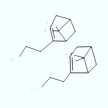 CC(=O)OCCC1=CCC2CC1C2(C)C.CC1(C)C2CC=C(CCO)C1C2